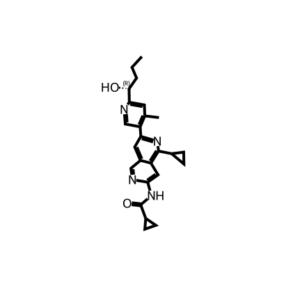 CCC[C@@H](O)c1cc(C)c(-c2cc3cnc(NC(=O)C4CC4)cc3c(C3CC3)n2)cn1